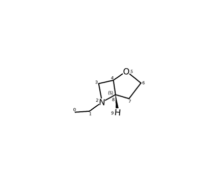 CCN1CC2OCC[C@@H]21